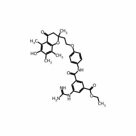 CCOC(=O)c1cc(NC(=N)N)cc(C(=O)Nc2ccc(OCCC3(C)CC(=O)c4c(C)c(O)c(C)c(C)c4O3)cc2)c1